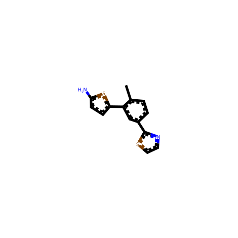 Cc1ccc(-c2nccs2)cc1-c1ccc(N)s1